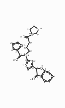 O=C1c2ccccc2OC1c1csc(N(CCCC(=O)N2CCSC2)C(=O)c2cccs2)n1